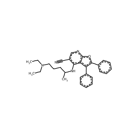 CCN(CC)CCCC(C)Nc1c(C#N)cnc2oc(-c3ccccc3)c(-c3ccccc3)c12